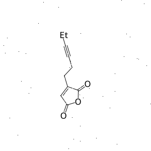 CCC#CCCC1=CC(=O)OC1=O